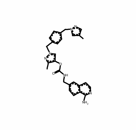 Cc1cnn(Cc2ccc(Cn3cc(OC(=O)NCc4ccc5c(N)nccc5c4)c(C)n3)cc2)c1